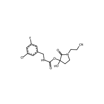 N#CCCN1CCC(O)(OC(=O)NCc2cc(F)cc(Cl)c2)C1=O